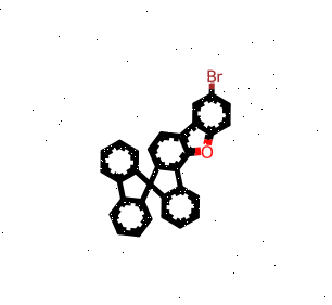 Brc1ccc2oc3c4c(ccc3c2c1)C1(c2ccccc2-c2ccccc21)c1ccccc1-4